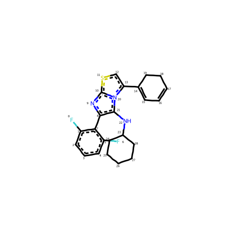 Fc1cccc(F)c1-c1nc2scc(C3=CC=CCC3)n2c1NC1CCCCC1